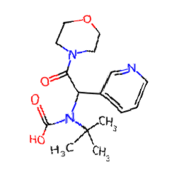 CC(C)(C)N(C(=O)O)C(C(=O)N1CCOCC1)c1cccnc1